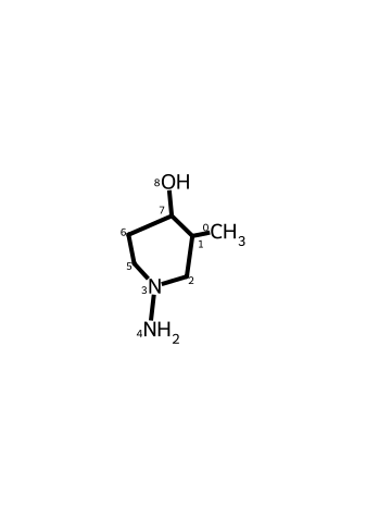 CC1CN(N)CCC1O